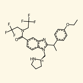 CCOc1ccc(C(C)c2nc3cc(C(=O)N(CC(F)(F)F)CC(F)(F)F)ccc3n2C[C@H]2CCCN2)cc1